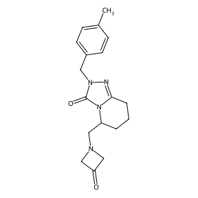 Cc1ccc(Cn2nc3n(c2=O)C(CN2CC(=O)C2)CCC3)cc1